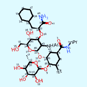 CCCNC(=O)C1CC(CC)[C@@H](OC2O[C@@H](C)C(O)[C@H](O)[C@@H]2O)[C@H](O[C@@H]2O[C@@H](CO)[C@H](O)C(O[C@@H](CC3CCCCC3)C(N)=O)C2NC(C)=O)C1